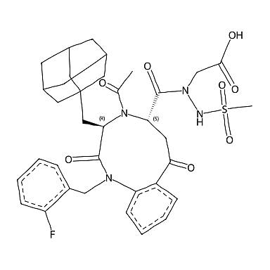 CC(=O)N1[C@H](CC23CC4CC(CC(C4)C2)C3)C(=O)N(Cc2ccccc2F)c2ccccc2C(=O)C[C@H]1C(=O)N(CC(=O)O)NS(C)(=O)=O